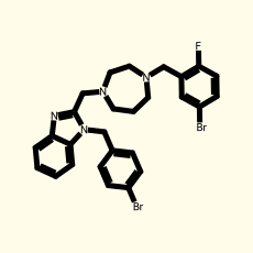 Fc1ccc(Br)cc1CN1CCCN(Cc2nc3ccccc3n2Cc2ccc(Br)cc2)CC1